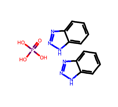 O=P(O)(O)O.c1ccc2[nH]nnc2c1.c1ccc2[nH]nnc2c1